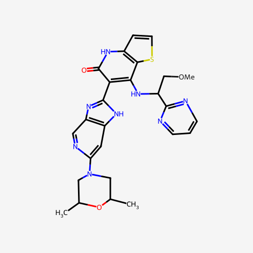 COCC(Nc1c(-c2nc3cnc(N4CC(C)OC(C)C4)cc3[nH]2)c(=O)[nH]c2ccsc12)c1ncccn1